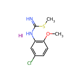 COc1ccc(Cl)cc1NC(=N)SC.I